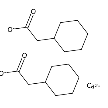 O=C([O-])CC1CCCCC1.O=C([O-])CC1CCCCC1.[Ca+2]